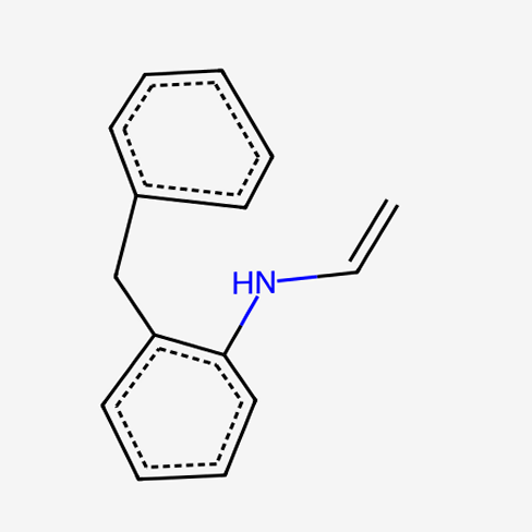 C=CNc1ccccc1Cc1ccccc1